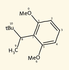 COc1cccc(OC)c1C(C)C(C)(C)C